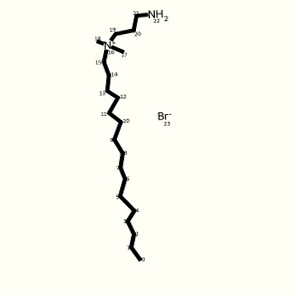 CCCCCCCCCCCCCCCC[N+](C)(C)CCCN.[Br-]